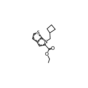 CCOC(=O)c1cc2ccsc2n1CC1CCC1